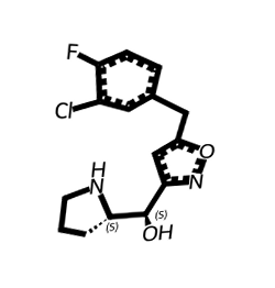 O[C@H](c1cc(Cc2ccc(F)c(Cl)c2)on1)[C@@H]1CCCN1